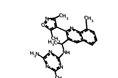 Cc1nc(N)nc(NC(C)c2cc3cccc(C)c3nc2-c2c(C)noc2C)n1